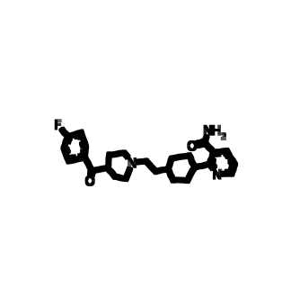 NC(=O)c1cccnc1C1CCC(CCN2CCC(C(=O)c3ccc(F)cc3)CC2)CC1